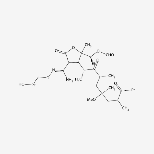 CC[C@H](OC=O)C1(C)OC(=O)C(/C(N)=N/OCPO)C1[C@@H](C)C(=O)[C@H](C)CC(C)(CC(C)C(=O)C(C)C)OC